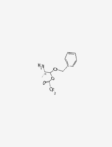 C[C@H](N)C(OCc1ccccc1)OC(=O)C(F)(F)F